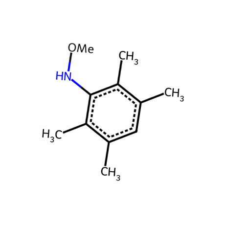 CONc1c(C)c(C)cc(C)c1C